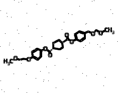 COCCOc1ccc(OC(=O)[C@H]2CC[C@H](C(=O)Oc3ccc(COCOC)cc3)CC2)cc1